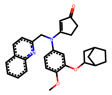 COc1ccc(N(Cc2ccc3ccccc3n2)C2=CC(=O)CC2)cc1OC1CC2CCC1C2